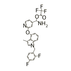 Cc1cn(Cc2ccc(F)cc2F)c2cccc(Oc3cc(C(N)OC(=O)C(F)(F)F)ccn3)c12